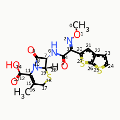 CON=C(C(=O)N[C@H]1C(=O)N2C(C(=O)O)=C(C)CS[C@@H]12)c1cc2ccsc2s1